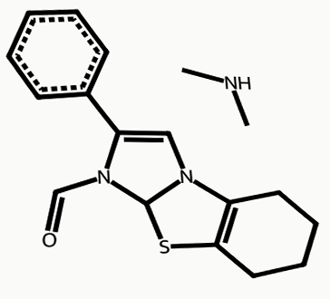 CNC.O=CN1C(c2ccccc2)=CN2C3=C(CCCC3)SC12